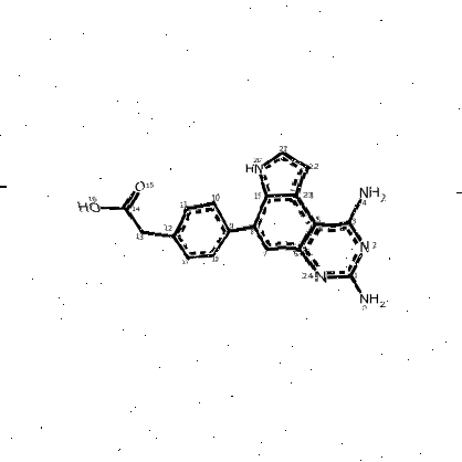 Nc1nc(N)c2c(cc(-c3ccc(CC(=O)O)cc3)c3[nH]ccc32)n1